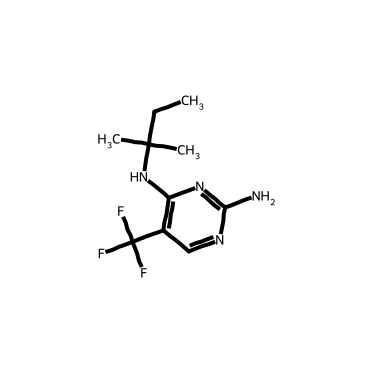 CCC(C)(C)Nc1nc(N)ncc1C(F)(F)F